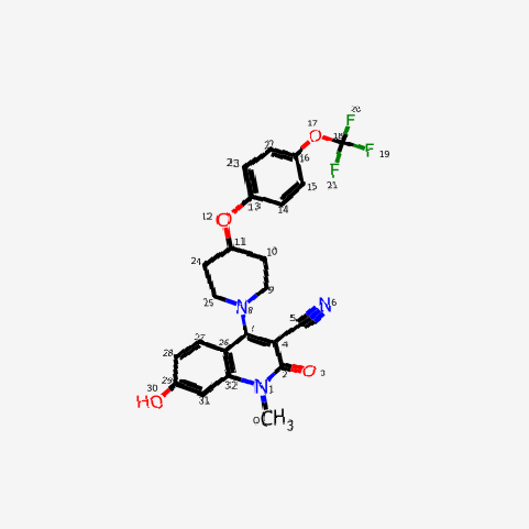 Cn1c(=O)c(C#N)c(N2CCC(Oc3ccc(OC(F)(F)F)cc3)CC2)c2ccc(O)cc21